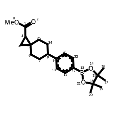 COC(=O)C1CC12CCC(c1ccc(B3OC(C)(C)C(C)(C)O3)cc1)CC2